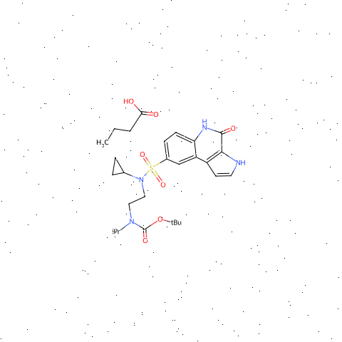 CC(C)N(CCN(C1CC1)S(=O)(=O)c1ccc2[nH]c(=O)c3[nH]ccc3c2c1)C(=O)OC(C)(C)C.CCCC(=O)O